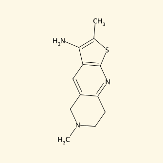 Cc1sc2nc3c(cc2c1N)CN(C)CC3